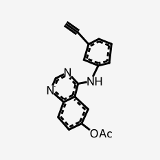 C#Cc1cccc(Nc2ncnc3ccc(OC(C)=O)cc23)c1